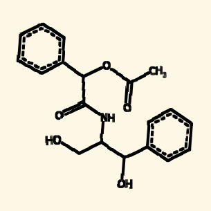 CC(=O)OC(C(=O)NC(CO)C(O)c1ccccc1)c1ccccc1